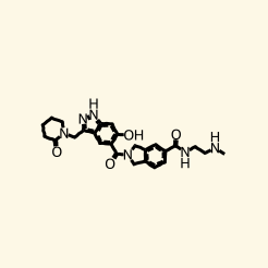 CNCCNC(=O)c1ccc2c(c1)CN(C(=O)c1cc3c(CN4CCCCC4=O)n[nH]c3cc1O)C2